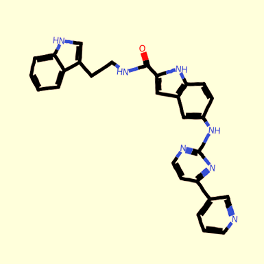 O=C(NCCc1c[nH]c2ccccc12)c1cc2cc(Nc3nccc(-c4cccnc4)n3)ccc2[nH]1